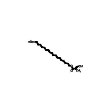 CCCCCCCCCCCCCCCCCCCCCCCCCCCCOC(=O)C(C)=CO